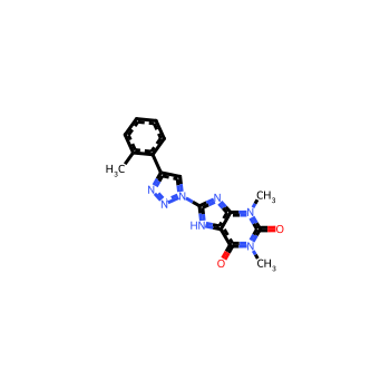 Cc1ccccc1-c1cn(-c2nc3c([nH]2)c(=O)n(C)c(=O)n3C)nn1